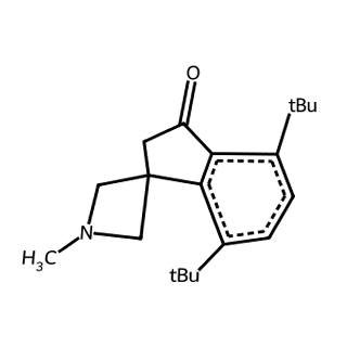 CN1CC2(CC(=O)c3c(C(C)(C)C)ccc(C(C)(C)C)c32)C1